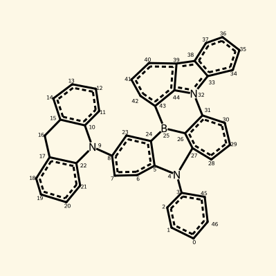 c1ccc(N2c3ccc(N4c5ccccc5Cc5ccccc54)cc3B3c4c2cccc4-n2c4ccccc4c4cccc3c42)cc1